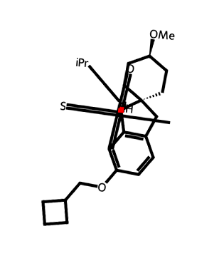 CO[C@H]1CC[C@]2(CC1)Cc1ccc(OCC3CCC3)cc1C21NC(=S)N(C(C)C)C1=O